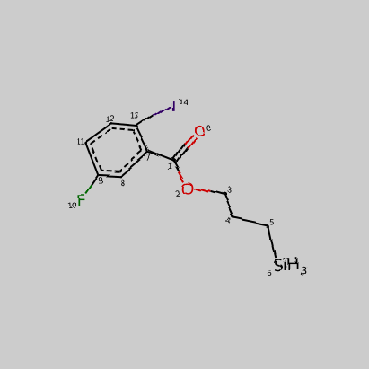 O=C(OCCC[SiH3])c1cc(F)ccc1I